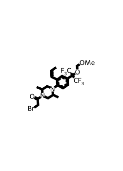 C/C=C\c1cc(C(OCOC)(C(F)(F)F)C(F)(F)F)ccc1N1CC(C)N(C(=O)CBr)CC1C